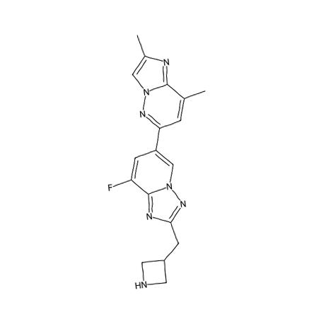 Cc1cn2nc(-c3cc(F)c4nc(CC5CNC5)nn4c3)cc(C)c2n1